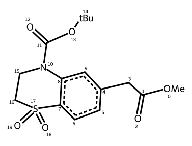 COC(=O)Cc1ccc2c(c1)N(C(=O)OC(C)(C)C)CCS2(=O)=O